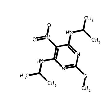 CSc1nc(NC(C)C)c([N+](=O)[O-])c(NC(C)C)n1